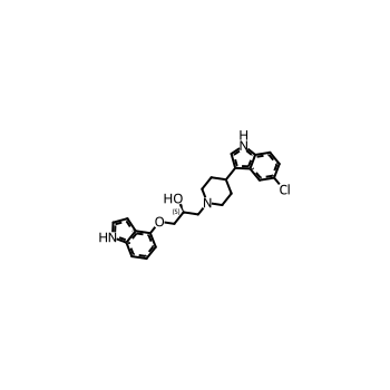 O[C@H](COc1cccc2[nH]ccc12)CN1CCC(c2c[nH]c3ccc(Cl)cc23)CC1